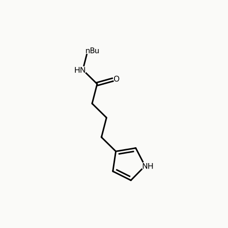 CCCCNC(=O)CCCc1cc[nH]c1